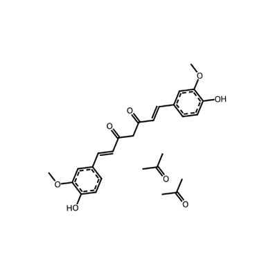 CC(C)=O.CC(C)=O.COc1cc(C=CC(=O)CC(=O)C=Cc2ccc(O)c(OC)c2)ccc1O